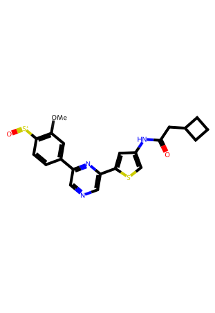 COc1cc(-c2cncc(-c3cc(NC(=O)CC4CCC4)cs3)n2)ccc1[S+]=O